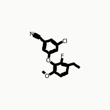 CCc1ccc(OC)c(Oc2cc(Cl)cc(C#N)c2)c1F